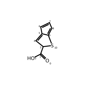 O=C(O)C1C=C2C=CC=C2S1